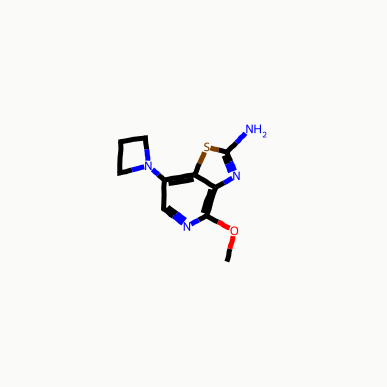 COc1ncc(N2CCC2)c2sc(N)nc12